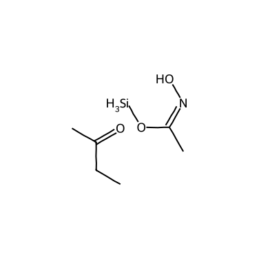 CC(=NO)O[SiH3].CCC(C)=O